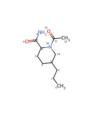 CCCC1CCC(C(N)=O)N(C(C)=O)C1